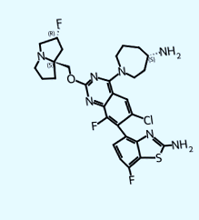 Nc1nc2c(-c3c(Cl)cc4c(N5CCC[C@H](N)CC5)nc(OC[C@@]56CCCN5C[C@H](F)C6)nc4c3F)ccc(F)c2s1